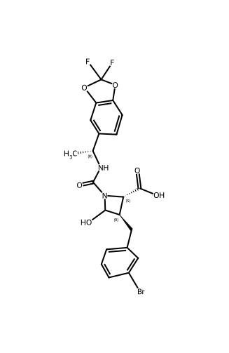 C[C@@H](NC(=O)N1C(O)[C@H](Cc2cccc(Br)c2)[C@H]1C(=O)O)c1ccc2c(c1)OC(F)(F)O2